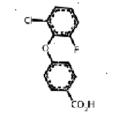 O=C(O)c1ccc(Oc2c(F)cccc2Cl)cc1